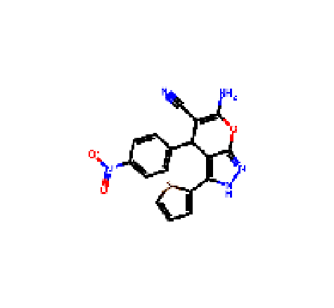 N#CC1=C(N)Oc2n[nH]c(-c3cccs3)c2C1c1ccc([N+](=O)[O-])cc1